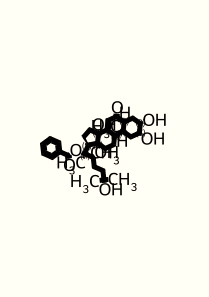 CC(C)(O)CCC(O)[C@](C)(OC(=O)c1ccccc1)[C@H]1CC[C@@]2(O)C3=CC(=O)[C@@H]4C[C@@H](O)[C@@H](O)C[C@]4(C)[C@H]3CC[C@]12C